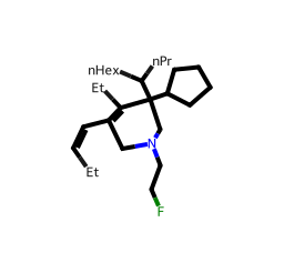 CC/C=C\C1=C(CC)C(C(CCC)CCCCCC)(C2CCCC2)CN(CCF)C1